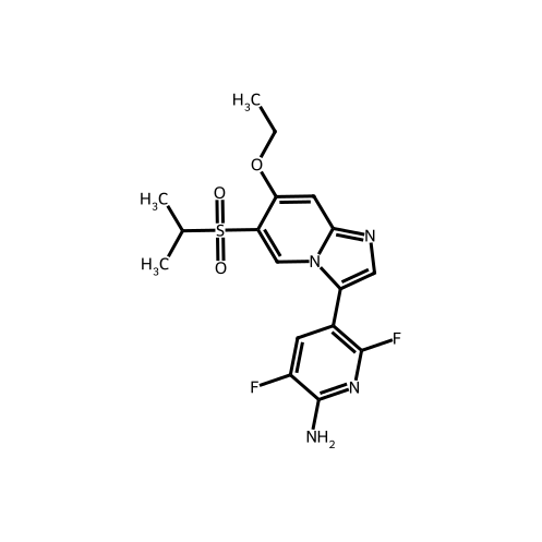 CCOc1cc2ncc(-c3cc(F)c(N)nc3F)n2cc1S(=O)(=O)C(C)C